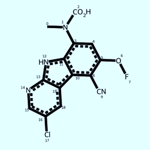 CN(C(=O)O)c1cc(OF)c(C#N)c2c1[nH]c1ncc(Cl)cc12